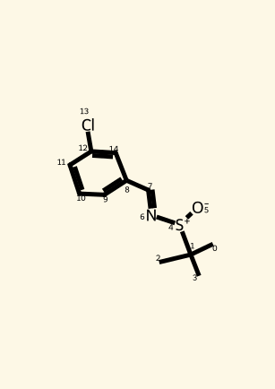 CC(C)(C)[S+]([O-])N=Cc1cccc(Cl)c1